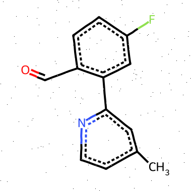 Cc1ccnc(-c2cc(F)ccc2C=O)c1